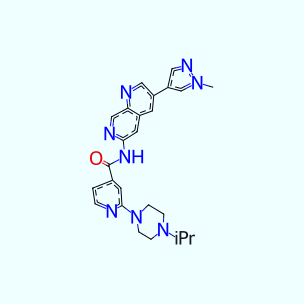 CC(C)N1CCN(c2cc(C(=O)Nc3cc4cc(-c5cnn(C)c5)cnc4cn3)ccn2)CC1